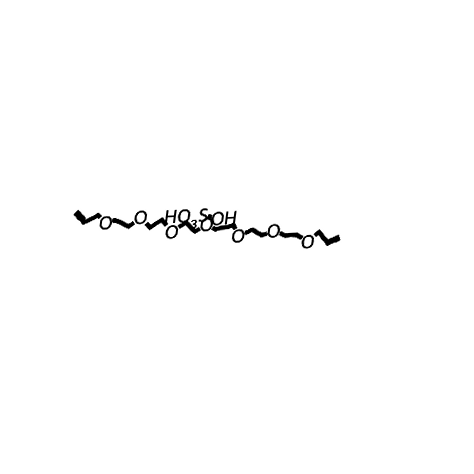 C=CCOCCOCCOCCOCCOCCOCCOCC=C.O=S(=O)(O)O